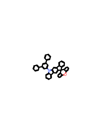 c1ccc(-c2cc(-c3ccccc3)cc(-n3c4ccccc4c4cc5c(cc43)-c3ccccc3C53c4ccccc4Oc4ccccc43)c2)cc1